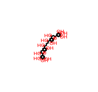 Oc1cc2c(cc1C(O)CCCC(O)c1cc3c(cc1O)OC(c1cc(O)c(O)c(O)c1)CC3O)CC(O)C(c1cc(O)c(O)c(O)c1)O2